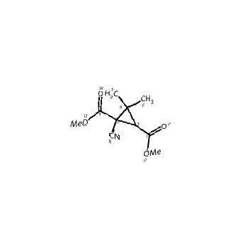 COC(=O)C1C(C)(C)C1(C#N)C(=O)OC